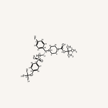 CC(C)(C)OC(=O)N1CCN([C@H](CNS(=O)(=O)c2ccc(OC(F)(F)F)cc2)c2ccc(F)cc2)CC1